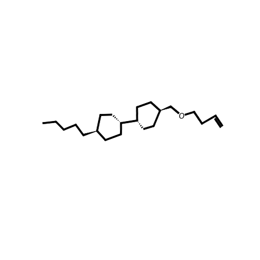 C=CCCOC[C@H]1CC[C@H]([C@H]2CC[C@H](CCCCC)CC2)CC1